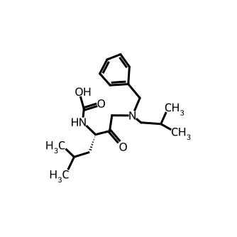 CC(C)C[C@H](NC(=O)O)C(=O)CN(Cc1ccccc1)CC(C)C